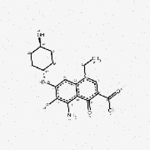 CCn1cc(C(=O)O)c(=O)c2c(N)c(F)c(N[C@H]3CC[C@H](O)CC3)cc21